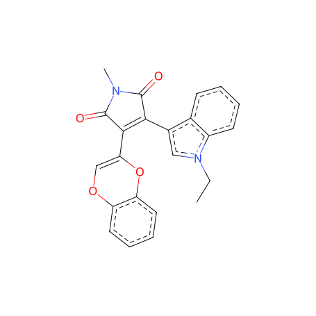 CCn1cc(C2=C(C3=COc4ccccc4O3)C(=O)N(C)C2=O)c2ccccc21